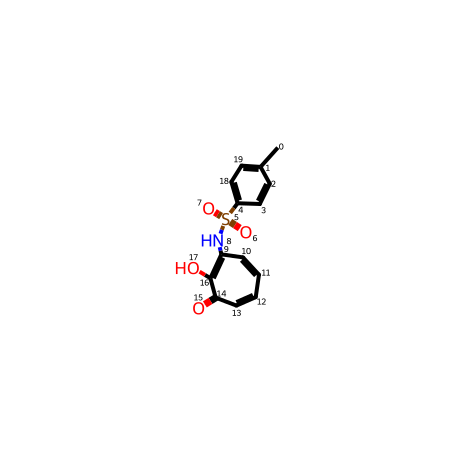 Cc1ccc(S(=O)(=O)Nc2ccccc(=O)c2O)cc1